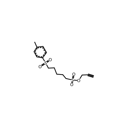 C#CCOS(=O)(=O)CCCCCS(=O)(=O)c1ccc(C)cc1